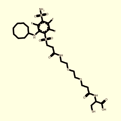 NS(=O)(=O)c1c(F)c(F)c(S(=O)(=O)CCC(=O)NCCOCCOCCC(=O)NC(CS)C(=O)O)c(NC2CCCCCCC2)c1F